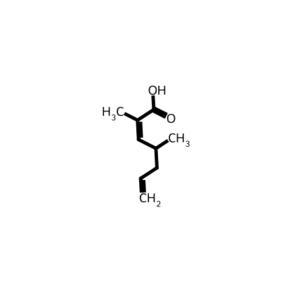 C=CCC(C)C=C(C)C(=O)O